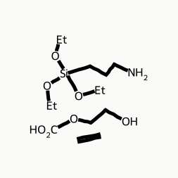 C=C.CCO[Si](CCCN)(OCC)OCC.O=C(O)OCCO